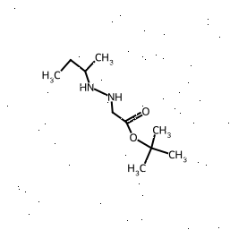 CCC(C)NNCC(=O)OC(C)(C)C